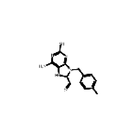 Cc1ccc(CN2c3nc(S)nc(N)c3NC2C=O)cc1